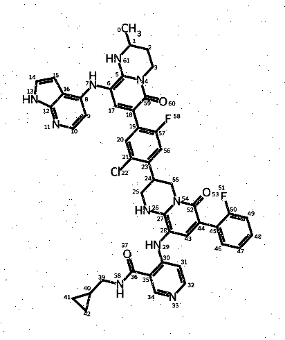 CC1CCn2c(c(Nc3ccnc4[nH]ccc34)cc(-c3cc(Cl)c(C4CNc5c(Nc6ccncc6C(=O)NCC6CC6)cc(-c6ccccc6F)c(=O)n5C4)cc3F)c2=O)N1